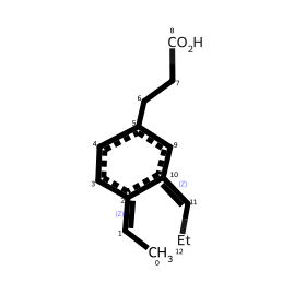 C/C=c1/ccc(CCC(=O)O)c/c1=C/CC